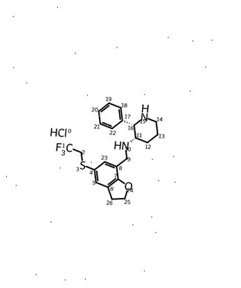 Cl.FC(F)(F)CSc1cc2c(c(CN[C@H]3CCCN[C@H]3c3ccccc3)c1)OCC2